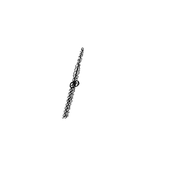 CCCCCCCCC=CCCCCCCCCCC(=O)OCCCCCCCCCCCCCCCCCC